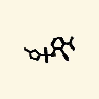 N#Cc1c(NS(=O)(=O)N2CCC(F)C2)cccc1[N+](=O)[O-]